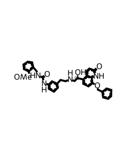 COc1ccccc1CNC(=O)Nc1cccc(CCNC[C@@H](O)c2ccc(OCc3ccccc3)c3[nH]c(=O)ccc23)c1